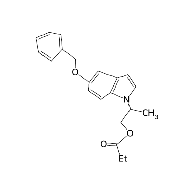 CCC(=O)OCC(C)n1ccc2cc(OCc3ccccc3)ccc21